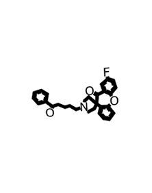 O=C(CCCCN1CCC2(CC1)C(=O)c1cc(F)ccc1Oc1ccccc12)c1ccccc1